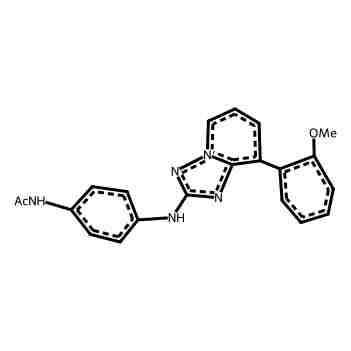 COc1ccccc1-c1cccn2nc(Nc3ccc(NC(C)=O)cc3)nc12